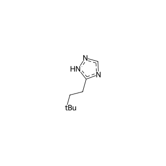 CC(C)(C)CCc1ncn[nH]1